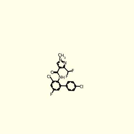 Cn1cc(C(=O)Nc2c(Cl)cc(F)cc2-c2ccc(Cl)cc2)c(C(F)F)n1